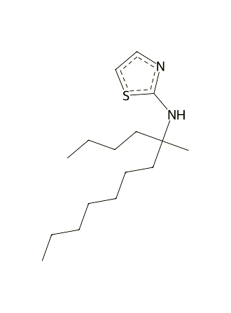 CCCCCCCC(C)(CCCC)Nc1nccs1